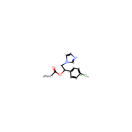 CCCCCC(=O)OC(Cn1ccnc1)c1ccc(Cl)cc1